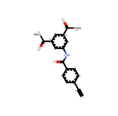 C#Cc1ccc(C(=O)Nc2cc(C(=O)OC)cc(C(=O)OC)c2)cc1